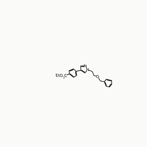 CCOC(=O)c1ccc(-c2cnn(CCOCc3ccccc3)c2)cc1